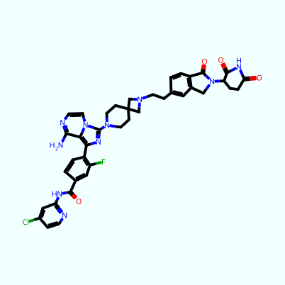 Nc1nccn2c(N3CCC4(CC3)CN(CCc3ccc5c(c3)CN(C3CCC(=O)NC3=O)C5=O)C4)nc(-c3ccc(C(=O)Nc4cc(Cl)ccn4)cc3F)c12